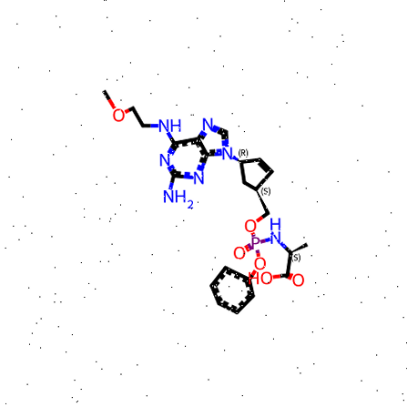 COCCNc1nc(N)nc2c1ncn2[C@H]1C=C[C@@H](COP(=O)(N[C@@H](C)C(=O)O)Oc2ccccc2)C1